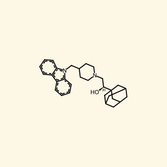 O[C@@H](CN1CCC(Cn2c3ccccc3c3ccccc32)CC1)C12CC3CC(CC(C3)C1)C2